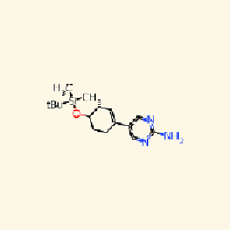 CC(C)(C)[Si](C)(C)OC1CC=C(c2cnc(N)nc2)CC1